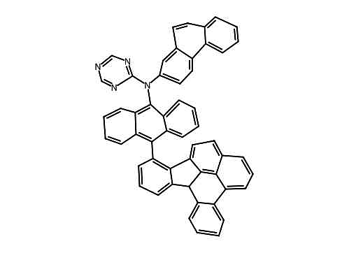 c1ccc2c(c1)-c1cccc3ccc4c(c13)C2c1cccc(-c2c3ccccc3c(N(c3ccc5c(ccc6ccccc65)c3)c3ncncn3)c3ccccc23)c1-4